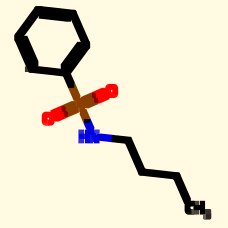 CCCCNS(=O)(=O)c1[c]cccc1